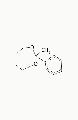 CC1(c2ccccc2)OCCCCO1